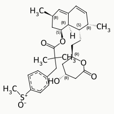 C[C@H]1C=C2C=C[C@H](C)[C@H](CC[C@@H]3C[C@@H](O)CC(=O)O3)[C@H]2[C@@H](OC(=O)C(C)(C)Cc2ccc([S+](C)[O-])cc2)C1